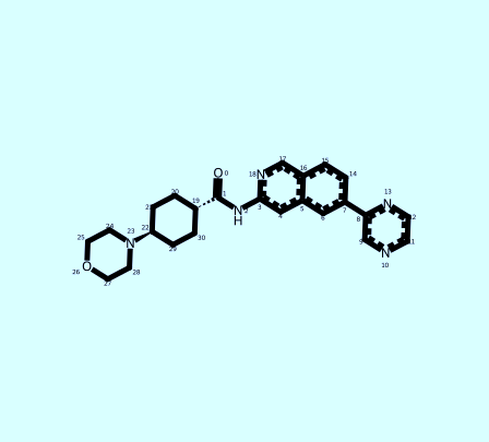 O=C(Nc1cc2cc(-c3cnccn3)ccc2cn1)[C@H]1CC[C@H](N2CCOCC2)CC1